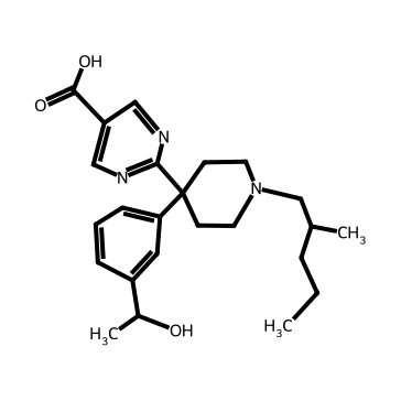 CCCC(C)CN1CCC(c2cccc(C(C)O)c2)(c2ncc(C(=O)O)cn2)CC1